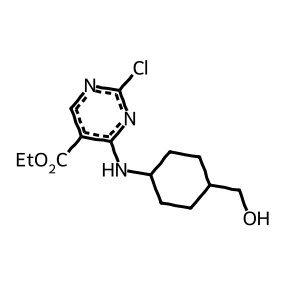 CCOC(=O)c1cnc(Cl)nc1NC1CCC(CO)CC1